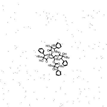 CCCCC(c1ccccc1)C(O)(CCCC)C(=O)OCC(COC(=O)C(O)(CCCC)C(CCCC)c1ccccc1)(COC(=O)C(O)(CCCC)C(CCCC)c1ccccc1)COC(=O)C(O)(CCCC)C(CCCC)c1ccccc1